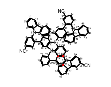 N#Cc1ccc(-n2c3c#cccc3c3ccccc32)c(C2=CC3=C4B(c5ccc(-c6cc(C#N)ccc6-n6c7ccccc7c7ccccc76)cc5OC4C2)c2ccc(-n4c5ccccc5c5cc(C#N)ccc54)cc2N3c2ccccc2-c2ccccc2)c1